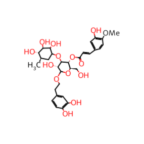 COc1ccc(/C=C/C(=O)O[C@H]2[C@H](OC3C[C@@H](C)[C@H](O)[C@@H](O)[C@H]3O)[C@@H](O)C(OCCc3ccc(O)c(O)c3)O[C@@H]2CO)cc1O